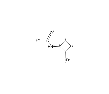 CC(C)C(=O)NC1CCC1C(C)C